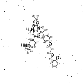 COc1ccccc1COCCCOc1ccc(C2CCN(C(=O)OC(C)(C)C)CC2OC(CCN)c2ccc3c(c2)NCC3(C)C)cc1